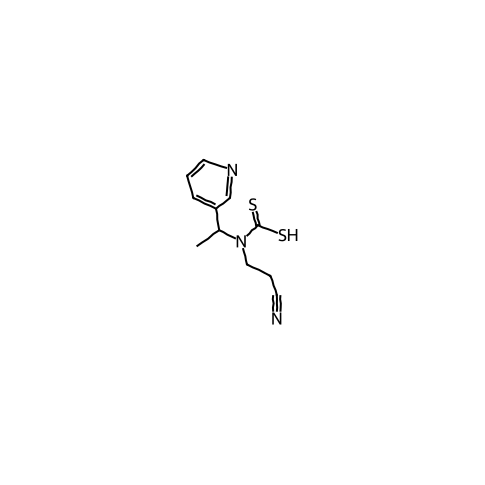 CC(c1cccnc1)N(CCC#N)C(=S)S